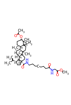 C=C(C)[C@@H]1CC[C@]2(C(=O)NCCCCCCCC(=O)NCC(=O)OC)CC[C@]3(C)[C@H](CCC4[C@@]5(C)CC[C@H](OC(C)=O)C(C)(C)[C@@H]5CC[C@]43C)[C@@H]12